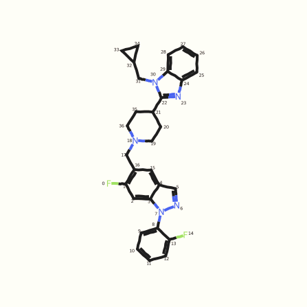 Fc1cc2c(cnn2-c2ccccc2F)cc1CN1CCC(c2nc3ccccc3n2CC2CC2)CC1